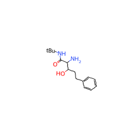 CC(C)(C)NC(=O)C(N)C(O)CCc1ccccc1